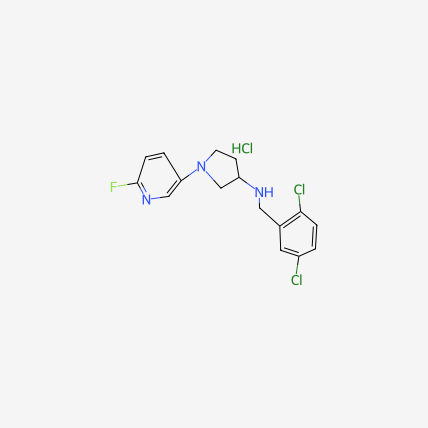 Cl.Fc1ccc(N2CCC(NCc3cc(Cl)ccc3Cl)C2)cn1